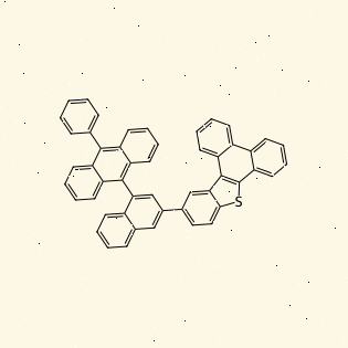 c1ccc(-c2c3ccccc3c(-c3cc(-c4ccc5sc6c7ccccc7c7ccccc7c6c5c4)cc4ccccc34)c3ccccc23)cc1